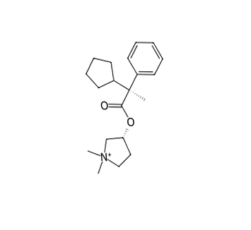 C[C@@](C(=O)O[C@@H]1CC[N+](C)(C)C1)(c1ccccc1)C1CCCC1